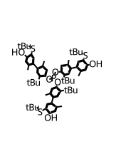 Cc1cc(O)c(SC(C)(C)C)cc1-c1cc(C(C)(C)C)c(OP(Oc2cc(C)c(-c3cc(SC(C)(C)C)c(O)cc3C)cc2C(C)(C)C)Oc2cc(C)c(-c3cc(SC(C)(C)C)c(O)cc3C)cc2C(C)(C)C)cc1C